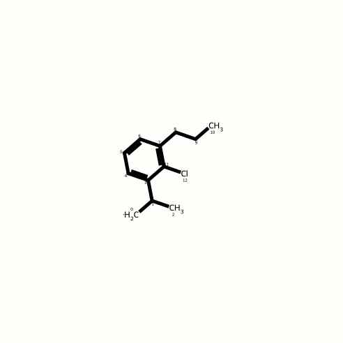 [CH2]C(C)c1cccc(CCC)c1Cl